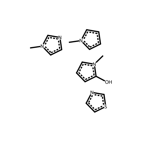 Cn1cccc1.Cn1cccc1O.Cn1ccnc1.c1cscn1